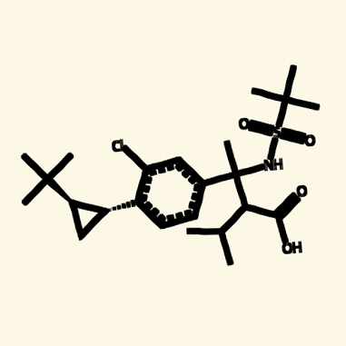 CC(C)C(C(=O)O)C(C)(NS(=O)(=O)C(C)(C)C)c1ccc([C@@H]2C[C@H]2C(C)(C)C)c(Cl)c1